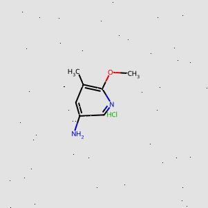 COc1ncc(N)cc1C.Cl